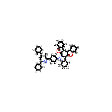 c1ccc(-c2cc(-c3ccccc3)nc(-c3ccc(-n4c5ccccc5c5c6oc7ccccc7c6c6c7ccccc7oc6c54)cc3)c2)cc1